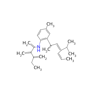 C=C(CC)C(=C)C(=C)Nc1ccc(C)cc1C(=C)/C=C(\C=C/C)C(C)C